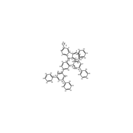 FC(F)(F)c1ccc2c(c1)c1ccccc1n2-c1ccc(-c2nc(-c3ccccc3)cc(-c3ccccc3)n2)cc1-c1nc(-c2ccccc2)cc(-c2ccccc2)n1